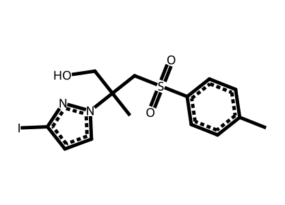 Cc1ccc(S(=O)(=O)CC(C)(CO)n2ccc(I)n2)cc1